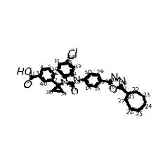 O=C(O)c1cccc(C2(n3c(=O)n(-c4ccc(-c5nnc(C6CCCCCC6)o5)cc4)c4cc(Cl)ccc43)CC2)c1